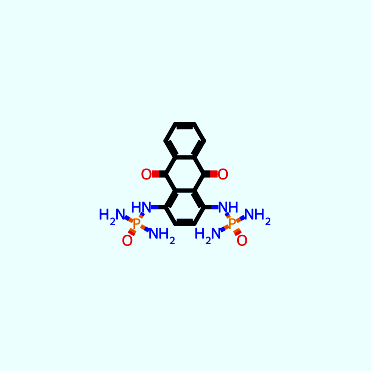 NP(N)(=O)Nc1ccc(NP(N)(N)=O)c2c1C(=O)c1ccccc1C2=O